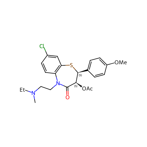 CCN(C)CCN1C(=O)[C@H](OC(C)=O)[C@H](c2ccc(OC)cc2)Sc2cc(Cl)ccc21